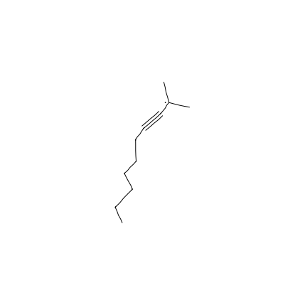 CCCCCCC#C[C](C)C